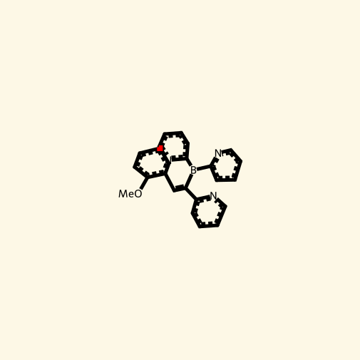 COc1ccccc1/C=C(\B(c1ccccn1)c1ccccn1)c1ccccn1